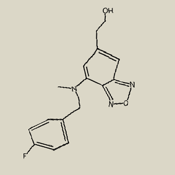 CN(Cc1ccc(F)cc1)c1cc(CCO)cc2nonc12